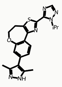 Cc1n[nH]c(C)c1-c1ccc2c(c1)OCCc1sc(-c3ncnn3C(C)C)nc1-2